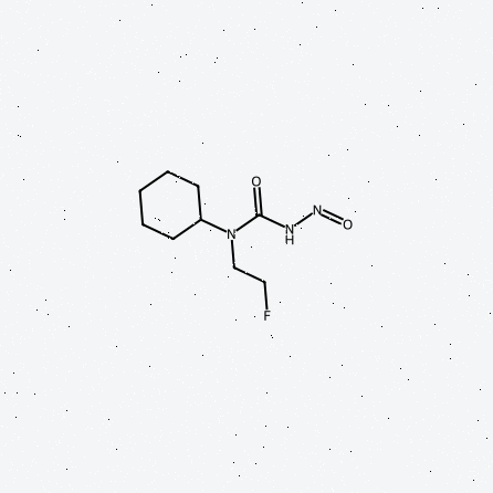 O=NNC(=O)N(CCF)C1CCCCC1